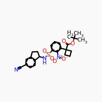 CC(C)(C)OC(=O)C1(c2cccc(S(=O)(=O)NC3CCc4cc(C#N)ccc43)c2[N+](=O)[O-])CCC1